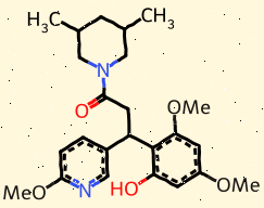 COc1cc(O)c(C(CC(=O)N2CC(C)CC(C)C2)c2ccc(OC)nc2)c(OC)c1